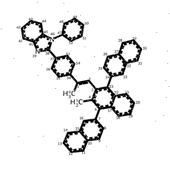 C/C(=C\c1c(C)c(-c2ccc3ccccc3c2)c2ccccc2c1-c1ccc2ccccc2c1)c1ccc(-c2nc3ccccc3n2-c2ccccc2)cc1